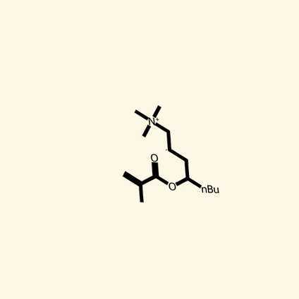 C=C(C)C(=O)OC(C[CH]C[N+](C)(C)C)CCCC